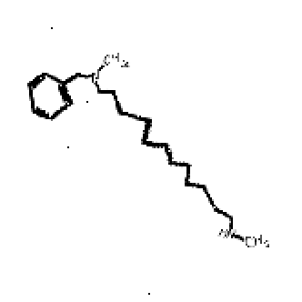 CNCCCCCCCCCCCCN(C)Cc1ccccc1